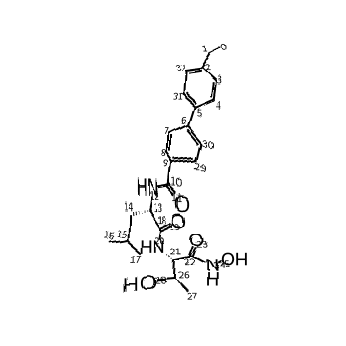 CCc1ccc(-c2ccc(C(=O)N[C@@H](CC(C)C)C(=O)N[C@H](C(=O)NO)[C@@H](C)O)cc2)cc1